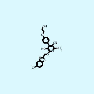 N#Cc1c(N)nc(SCc2nc3cc(Cl)ccc3s2)c(C#N)c1-c1ccc(OCCO)cc1